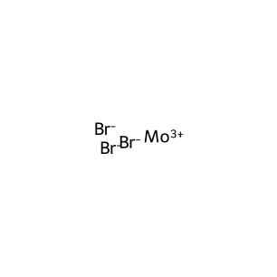 [Br-].[Br-].[Br-].[Mo+3]